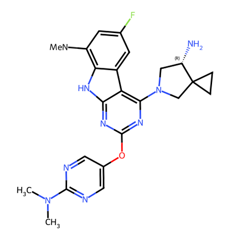 CNc1cc(F)cc2c1[nH]c1nc(Oc3cnc(N(C)C)nc3)nc(N3C[C@H](N)C4(CC4)C3)c12